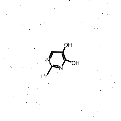 CC(C)c1ncc(O)c(O)n1